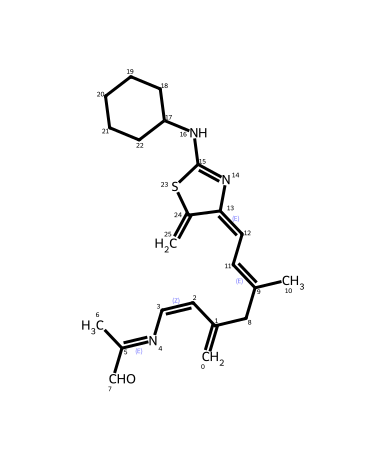 C=C(/C=C\N=C(/C)C=O)C/C(C)=C/C=c1/nc(NC2CCCCC2)sc1=C